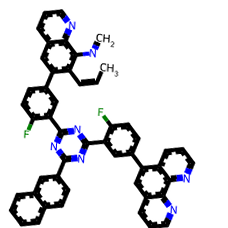 C=Nc1c(/C=C\C)c(-c2ccc(F)c(-c3nc(-c4ccc5ccccc5c4)nc(-c4cc(-c5cc6cccnc6c6ncccc56)ccc4F)n3)c2)cc2cccnc12